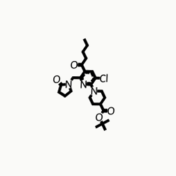 CCCCC(=O)c1cc(Cl)c(N2CCC(C(=O)OC(C)(C)C)CC2)nc1CN1CCCC1=O